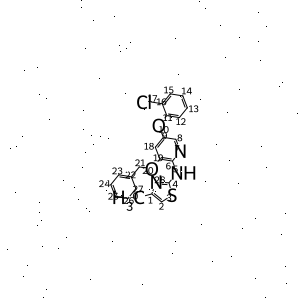 Cc1csc(Nc2ncc(Oc3ccccc3Cl)cc2OCC2=CC=CCC2)n1